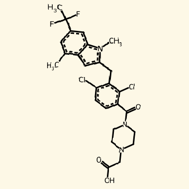 Cc1cc(C(C)(F)F)cc2c1cc(Cc1c(Cl)ccc(C(=O)N3CCN(CC(=O)O)CC3)c1Cl)n2C